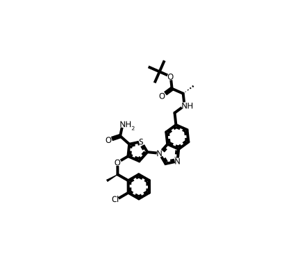 C[C@H](NCc1ccc2ncn(-c3cc(O[C@H](C)c4ccccc4Cl)c(C(N)=O)s3)c2c1)C(=O)OC(C)(C)C